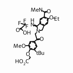 CCOc1cc2c(cc1C(=O)NC)C(=N)N(CC(=O)c1cc(OC)c(OCC(=O)O)c(C(C)(C)C)c1)C2.O=C(O)C(F)(F)F